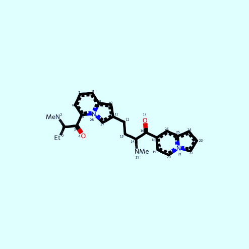 CCC(NC)C(=O)c1cccc2cc(CCC(NC)C(=O)c3ccn4cccc4c3)cn12